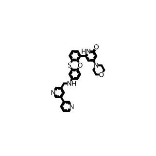 O=c1cc(N2CCOCC2)cc(-c2cccc3c2Oc2ccc(NCc4cncc(-c5cccnc5)c4)cc2S3)[nH]1